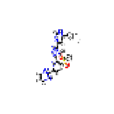 CCS(=O)(=O)c1ccc(-c2ncccn2)nc1-c1nnc(-c2cc(C(F)(F)F)ncn2)n1C